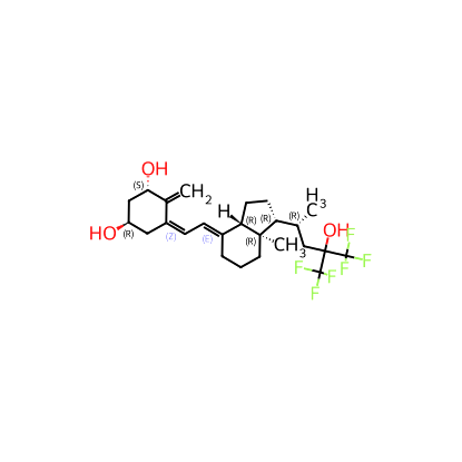 C=C1/C(=C\C=C2/CCC[C@]3(C)[C@@H]([C@H](C)CC(O)(C(F)(F)F)C(F)(F)F)CC[C@@H]23)C[C@@H](O)C[C@@H]1O